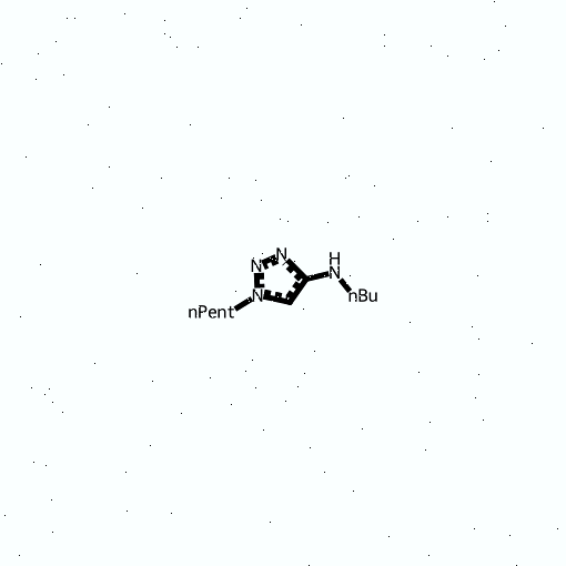 CCCCCn1cc(NCCCC)nn1